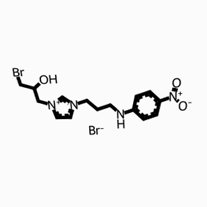 O=[N+]([O-])c1ccc(NCCCn2cc[n+](CC(O)CBr)c2)cc1.[Br-]